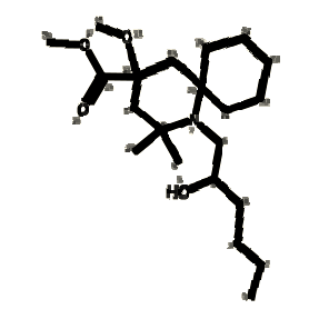 CCCCC(O)CN1C(C)(C)CC(OC)(C(=O)OC)CC12CCCCC2